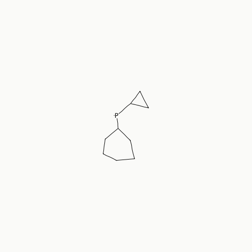 C1CCC([P]C2CC2)CC1